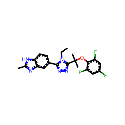 CCn1c(-c2ccc3[nH]c(C)nc3c2)nnc1C(C)(C)Oc1c(F)cc(F)cc1F